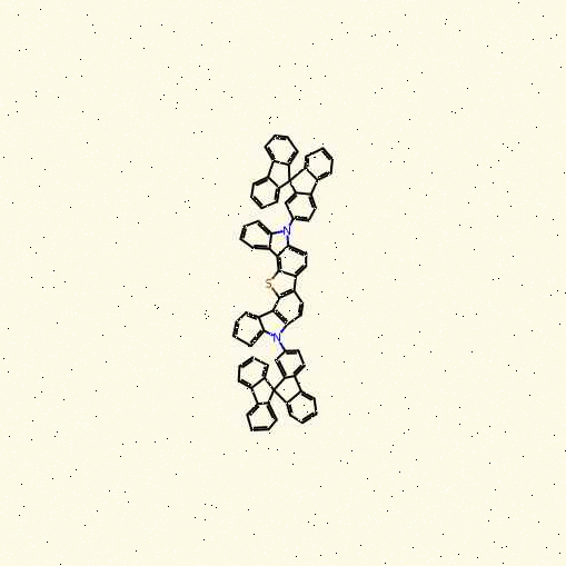 c1ccc2c(c1)-c1ccccc1C21c2ccccc2-c2ccc(-n3c4ccccc4c4c5sc6c(ccc7c6c6ccccc6n7-c6ccc7c(c6)C6(c8ccccc8-c8ccccc86)c6ccccc6-7)c5ccc43)cc21